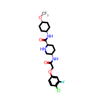 O=C(COc1ccc(Cl)c(F)c1)N[C@H]1CC[C@H](C(=O)N[C@H]2CC[C@@H](OC(F)(F)F)CC2)NC1